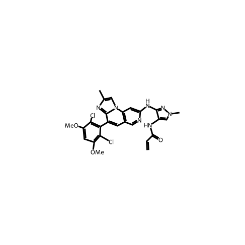 C=CC(=O)Nc1cn(C)nc1Nc1cc2c(cn1)cc(-c1c(Cl)c(OC)cc(OC)c1Cl)c1nc(C)cn12